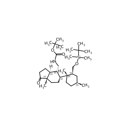 C[C@H]1CC[C@](C)([C@H]2CC[C@]3(C)C(=O)CC[C@H]3[C@@H]2CNC(=O)OC(C)(C)C)[C@@H](CO[Si](C)(C)C(C)(C)C)C1